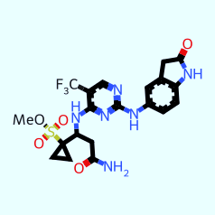 COS(=O)(=O)C1(C(CC(N)=O)Nc2nc(Nc3ccc4c(c3)CC(=O)N4)ncc2C(F)(F)F)CC1